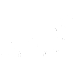 Cc1ccccc1Nc1cc(Nc2cccc(NC(=O)C3CC3)c2)ncn1